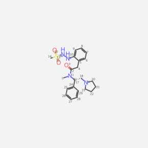 CN(C(=O)Cc1ccccc1NNS(C)(=O)=O)[C@H](CN1CCCC1)c1ccccc1